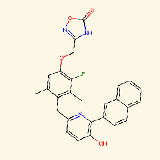 Cc1cc(OCc2noc(=O)[nH]2)c(F)c(C)c1Cc1ccc(O)c(-c2ccc3ccccc3c2)n1